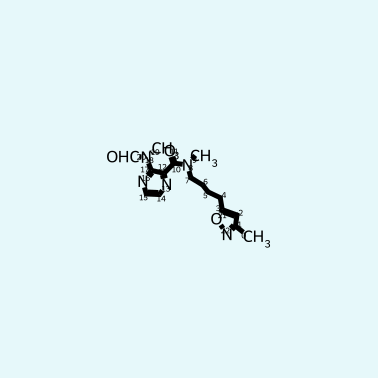 Cc1cc(CCCCN(C)C(=O)c2nccnc2N(C)C=O)on1